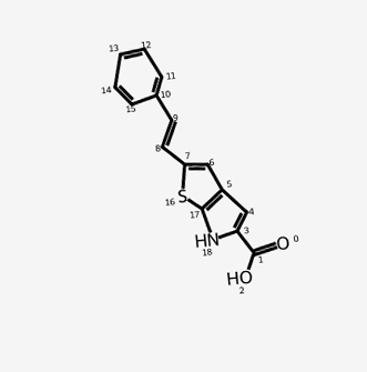 O=C(O)c1cc2cc(C=Cc3ccccc3)sc2[nH]1